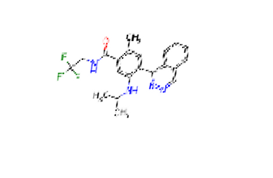 Cc1cc(-c2nncc3ccccc23)c(NC(C)C)cc1C(=O)NCC(F)(F)F